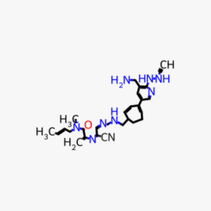 C#CNNc1ncc(C2=CCCC(CNC/N=C\C(C#N)=N/C(=C)C(=O)N(C)C/C=C/C)C=C2)cc1CN